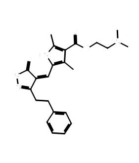 Cc1[nH]c(C=C2C(=O)NN=C2CCc2ccccc2)c(C)c1C(=O)OCCN(C)C